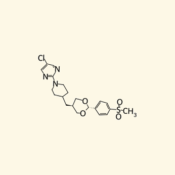 CS(=O)(=O)c1ccc([C@H]2OC[C@H](CC3CCN(c4ncc(Cl)cn4)CC3)CO2)cc1